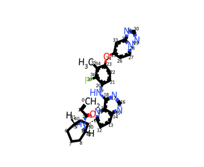 C=CC(=O)N1[C@@H]2CCC[C@H]1[C@@H](c1ccc3ncnc(Nc4ccc(Oc5ccn6ncnc6c5)c(C)c4F)c3n1)C2